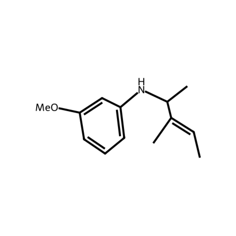 C/C=C(\C)C(C)Nc1cccc(OC)c1